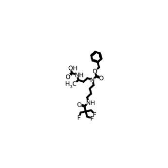 CC(CCN(CCCCNC(=O)C(CF)(CF)CF)C(=O)OCc1ccccc1)NC(=O)O